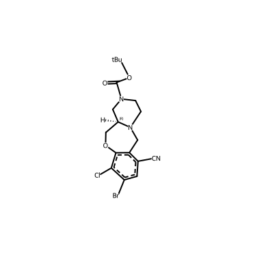 CC(C)(C)OC(=O)N1CCN2Cc3c(C#N)cc(Br)c(Cl)c3OC[C@H]2C1